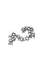 O=C1CCC(N2C(=O)c3cccc(NCC4CC5(CCN(C[C@H]6CC[C@H](n7cc(NC(=O)c8ncnc9ccc(N%10C[C@H]%11C[C@@H]%10CO%11)nc89)c(C(F)F)n7)CC6)CC5)C4)c3C2=O)C(=O)N1